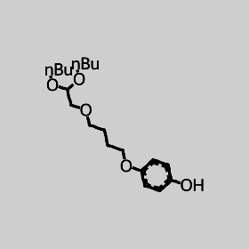 CCCCOC(COCCCCOc1ccc(O)cc1)OCCCC